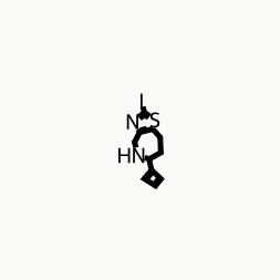 Ic1nc2c(s1)CCC(C1=CC=C1)NC2